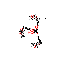 C[Si](C)(C)O[Si](C)(C)O[Si](C)(C)CCCOCC(CO)(COCCC[Si](C)(C)O[Si](C)(C)O[Si](C)(C)C)COCCC[Si](C)(C)O[Si](C)(C)O[Si](C)(C)C